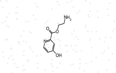 NCCOC(=O)c1cc(O)ccn1